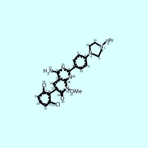 CCCN1CCN(c2ccc(-c3nc(N)c4cc(-c5c(Cl)cccc5Cl)c(=O)n(OC)c4n3)cc2)CC1